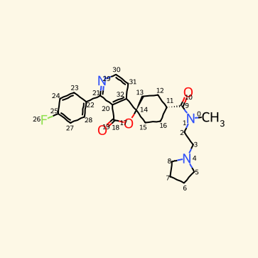 CN(CCN1CCCC1)C(=O)[C@H]1CC[C@@]2(CC1)OC(=O)c1c(-c3ccc(F)cc3)nccc12